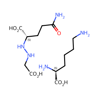 NC(=O)CC[C@H](NNCC(=O)O)C(=O)O.NCCCC[C@H](N)C(=O)O